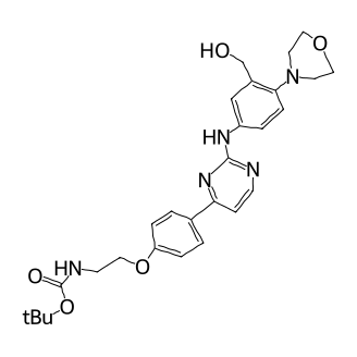 CC(C)(C)OC(=O)NCCOc1ccc(-c2ccnc(Nc3ccc(N4CCOCC4)c(CO)c3)n2)cc1